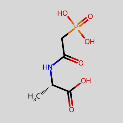 C[C@H](NC(=O)CP(=O)(O)O)C(=O)O